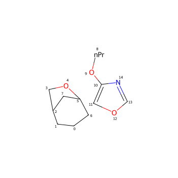 C1CC2COC(C1)C2.CCCOc1cocn1